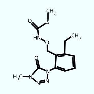 CCc1cccc(-n2nnn(C)c2=O)c1CONC(=O)SC